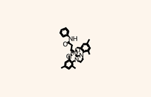 Cc1cc(C)c(N2CCN(c3c(C)cc(C)cc3C)[C]2=[Ru]([Cl])([Cl])=[CH]CC(=O)Nc2ccccc2)c(C)c1